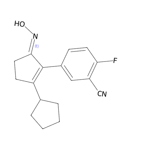 N#Cc1cc(C2=C(C3CCCC3)CC/C2=N\O)ccc1F